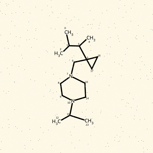 CC(C)C(C)C1(CN2CCN(C(C)C)CC2)CC1